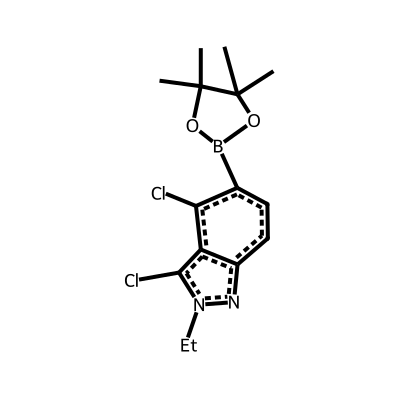 CCn1nc2ccc(B3OC(C)(C)C(C)(C)O3)c(Cl)c2c1Cl